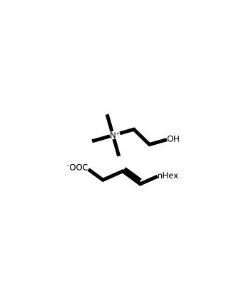 CCCCCCC=CCC(=O)[O-].C[N+](C)(C)CCO